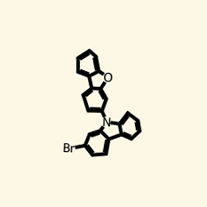 Brc1ccc2c3ccccc3n(-c3ccc4c(c3)oc3ccccc34)c2c1